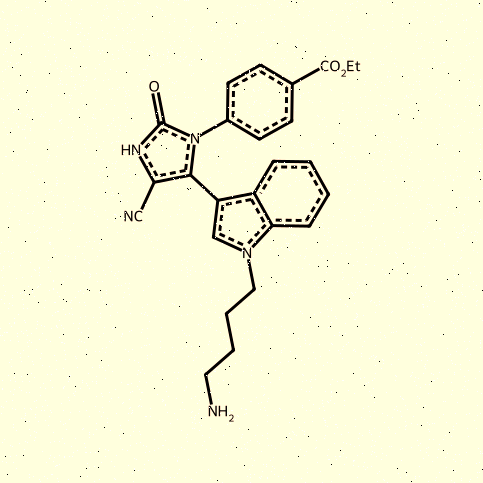 CCOC(=O)c1ccc(-n2c(-c3cn(CCCCN)c4ccccc34)c(C#N)[nH]c2=O)cc1